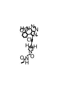 C=CC(=O)NCC(=O)N1C[C@@H]2C(C#Cc3c(-c4c(Cl)ccc5c4OCO5)c4c(N)ncnc4n3C)[C@@H]2C1